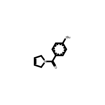 CC(C)(C)c1ccc(C(=O)N2CC=CC2)cc1